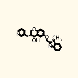 Cn1c(COc2ccc3c(c2)[C@@H](O)[C@H](Cc2cccnc2)CO3)nc2ccccc21